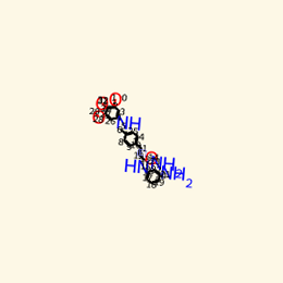 COc1cc(NCc2ccc(/C=C/C(=O)Nc3cccc(N)c3N)cc2)cc(OC)c1OC